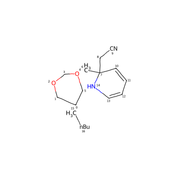 C1COCOC1.CC1(CC#N)C=CC=CN1.CCCCC